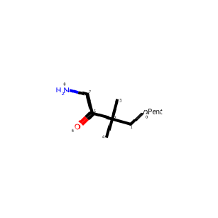 CCCCCCC(C)(C)C(=O)CN